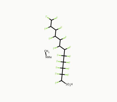 CNC.O=S(=O)(O)C(F)C(F)(F)C(F)(F)C(F)(F)C(F)(F)C(F)C(F)C(F)C(F)C(F)C(F)C(F)F